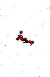 c1ccc(-c2ccc(-c3nc(-c4ccccc4)nc(-c4ccc5oc6c(-c7cccc(-c8ccc9c(c8)sc8ccccc89)c7)cccc6c5c4)n3)cc2)cc1